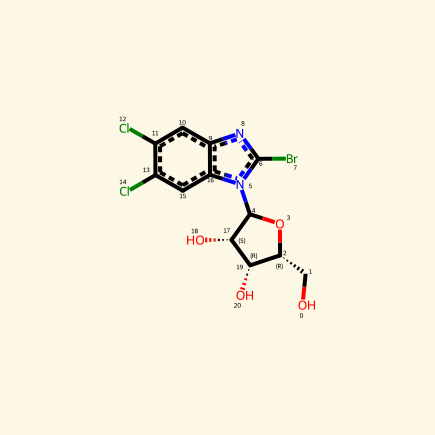 OC[C@H]1OC(n2c(Br)nc3cc(Cl)c(Cl)cc32)[C@@H](O)[C@H]1O